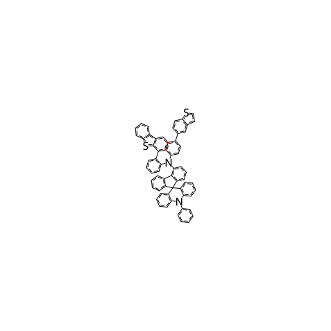 c1ccc(N2c3ccccc3C3(c4ccccc4-c4c(N(c5ccc(-c6ccc7sccc7c6)cc5)c5ccccc5-c5cccc6c5sc5ccccc56)cccc43)c3ccccc32)cc1